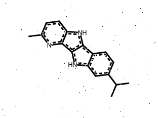 Cc1ccc2[nH]c3c4ccc(C(C)C)cc4[nH]c3c2n1